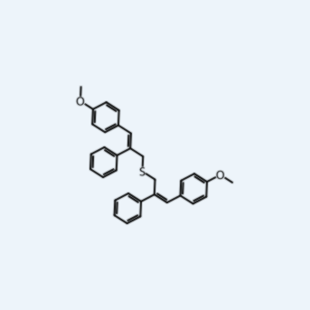 COc1ccc(C=C(CSCC(=Cc2ccc(OC)cc2)c2ccccc2)c2ccccc2)cc1